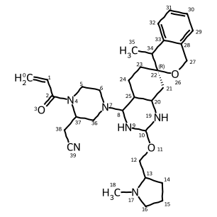 C=CC(=O)N1CCN(C2NC(OCC3CCCN3C)NC3C[C@@]4(CCC32)OCc2ccccc2C4C)CC1CC#N